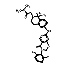 CN(C)C(=O)CN1CCc2cc(Nc3ncc4c(n3)SCN(c3c(Cl)cccc3Cl)C4=O)ccc2C1(C)C